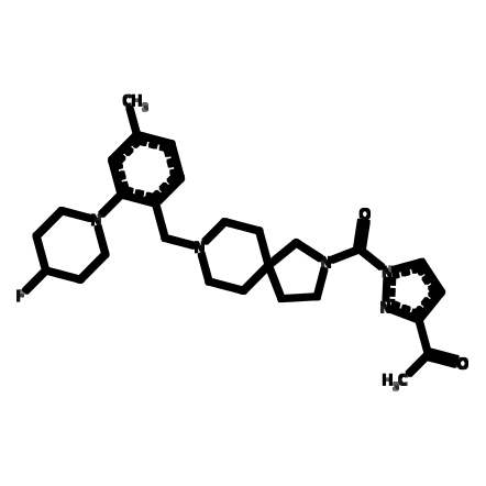 CC(=O)c1ccn(C(=O)N2CCC3(CCN(Cc4ccc(C)cc4N4CCC(F)CC4)CC3)C2)n1